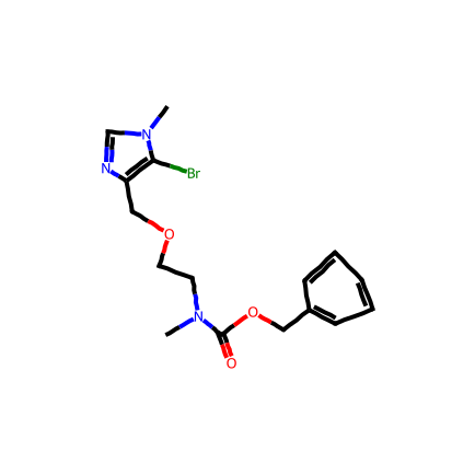 CN(CCOCc1ncn(C)c1Br)C(=O)OCc1ccccc1